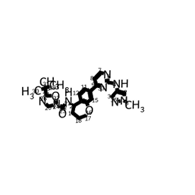 Cn1cc(Nc2nccc(-c3ccc4c(c3)OCCC[C@H]4NC(=O)N3CN=C(C(C)(C)C)O3)n2)cn1